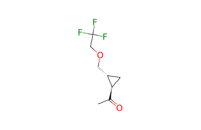 CC(=O)[C@@H]1C[C@H]1COCC(F)(F)F